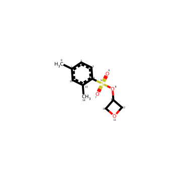 Cc1ccc(S(=O)(=O)OC2COC2)c(C)c1